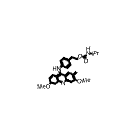 COc1ccc2c(Nc3ccc(CCOC(=O)NC(C)C)cc3)c3cc(C)c(OC)cc3nc2c1